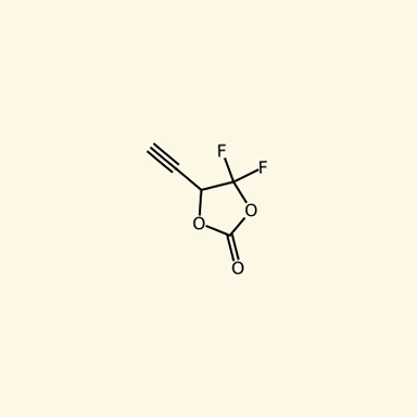 C#CC1OC(=O)OC1(F)F